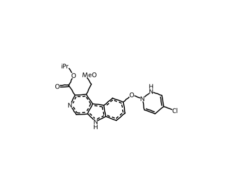 COCc1c(C(=O)OC(C)C)ncc2[nH]c3ccc(ON4C=CC(Cl)=CN4)cc3c12